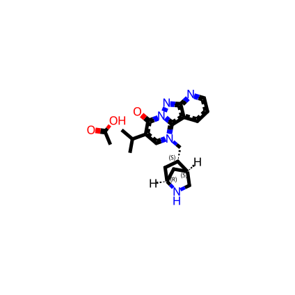 CC(=O)O.CC(C)c1cn(C[C@H]2C[C@H]3C[C@@H]2CN3)c2c3cccnc3nn2c1=O